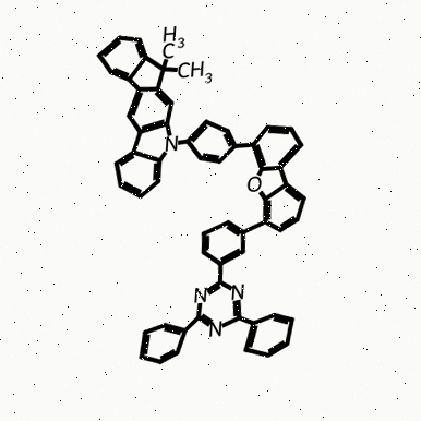 CC1(C)c2ccccc2-c2cc3c4ccccc4n(-c4ccc(-c5cccc6c5oc5c(-c7cccc(-c8nc(-c9ccccc9)nc(-c9ccccc9)n8)c7)cccc56)cc4)c3cc21